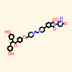 O=C1CCC(N2C(=O)c3ccc(C4CCN(CCN5CCC(COc6ccc(C(=O)c7c(-c8ccc(O)cc8)sc8cc(O)ccc78)cc6)CC5)CC4)cc3C2=O)C(=O)N1